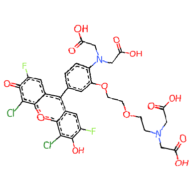 O=C(O)CN(CCOCCOc1cc(-c2c3cc(F)c(=O)c(Cl)c-3oc3c(Cl)c(O)c(F)cc23)ccc1N(CC(=O)O)CC(=O)O)CC(=O)O